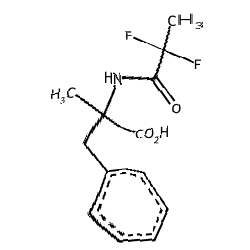 CC(F)(F)C(=O)NC(C)(Cc1ccccc1)C(=O)O